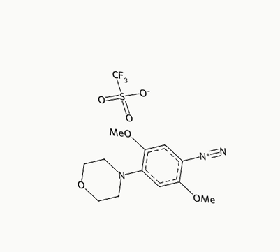 COc1cc(N2CCOCC2)c(OC)cc1[N+]#N.O=S(=O)([O-])C(F)(F)F